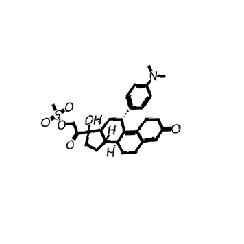 CN(C)c1ccc([C@H]2C[C@@]3(C)[C@@H](CC[C@]3(O)C(=O)COS(C)(=O)=O)[C@@H]3CCC4=CC(=O)CCC4=C32)cc1